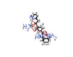 NC(=O)OC(Cc1cccnc1)c1ccc(C(=O)Nc2ccccc2N)cc1